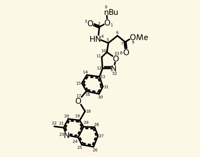 CCCCOC(=O)NC(CC(=O)OC)C1CC(c2ccc(OCc3cc(C)nc4ccccc34)cc2)=NO1